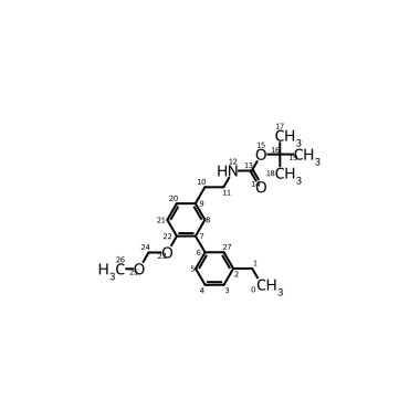 CCc1cccc(-c2cc(CCNC(=O)OC(C)(C)C)ccc2OCOC)c1